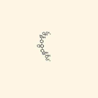 C[C@@H]1CN[C@H](c2nc3ccc(-c4ccc(-c5ccc(-c6cnc([C@@H]7CC[C@H](C)N7)[nH]6)cc5)c5c4C4CCC5C4)cc3[nH]2)C1